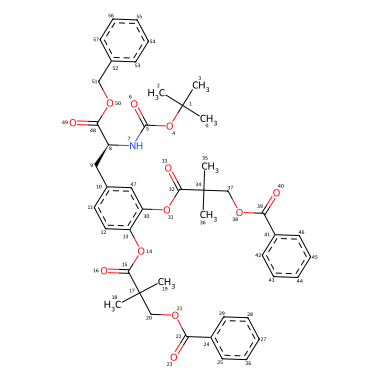 CC(C)(C)OC(=O)N[C@@H](Cc1ccc(OC(=O)C(C)(C)COC(=O)c2ccccc2)c(OC(=O)C(C)(C)COC(=O)c2ccccc2)c1)C(=O)OCc1ccccc1